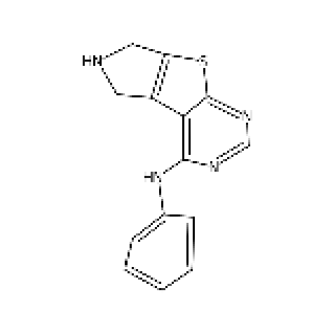 c1ccc(Nc2ncnc3sc4c(c23)CNC4)cc1